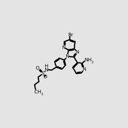 CCCCS(=O)(=O)NCc1ccc(-n2c(-c3cccnc3N)nc3cc(Br)cnc32)cc1